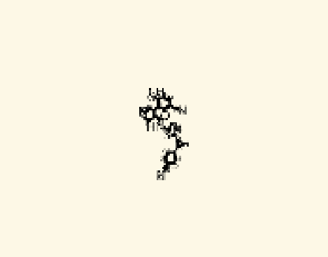 COc1ccc(C#N)cc1-c1cnccc1C(=O)Nc1nnc([C@@H]2C[C@H]2c2ccc(C#N)cc2)s1